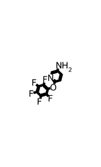 Nc1ccc(Oc2c(F)c(F)c(F)c(F)c2F)nc1